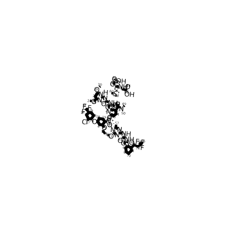 CCOc1cc(Oc2ccc(C(F)(F)F)cc2Cl)ccc1[N+](=O)[O-].COc1cc(OC)nc(NC(=O)NS(=O)(=O)c2ncccc2C(=O)N(C)C)n1.COc1nc(C)nc(NC(=O)NS(=O)(=O)c2ccccc2CCC(F)(F)F)n1.C[S+](C)C.O=C(O)CNCP(=O)([O-])O